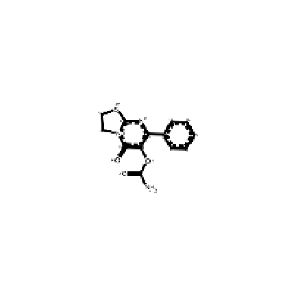 NC(=O)Oc1c(-c2ccccc2)nc2n(c1=O)CCS2